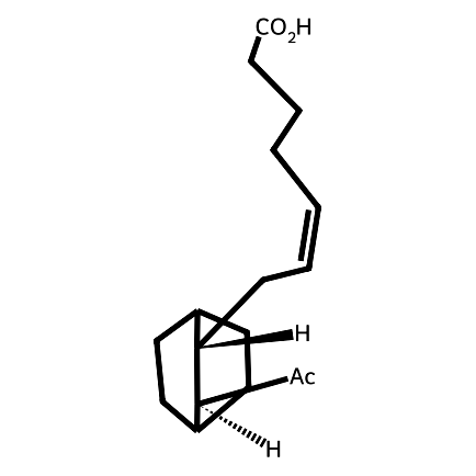 CC(=O)[C@H]1C2CCC(CC2)[C@@H]1C/C=C\CCCC(=O)O